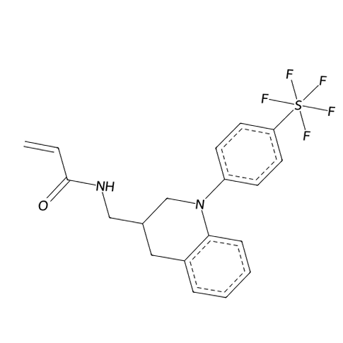 C=CC(=O)NCC1Cc2ccccc2N(c2ccc(S(F)(F)(F)(F)F)cc2)C1